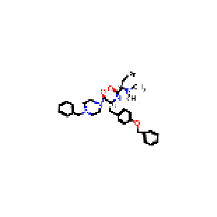 CC(C)C[C@@H](C(=O)N[C@@H](Cc1ccc(OCc2ccccc2)cc1)C(=O)N1CCN(Cc2ccccc2)CC1)N(C)C